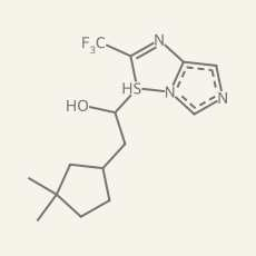 CC1(C)CCC(CC(O)[SH]2C(C(F)(F)F)=Nc3cncn32)C1